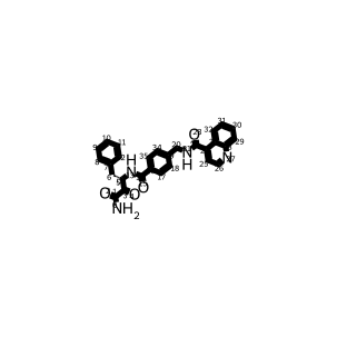 NC(=O)C(=O)[C@H](Cc1ccccc1)NC(=O)c1ccc(CNC(=O)c2ccnc3ccccc23)cc1